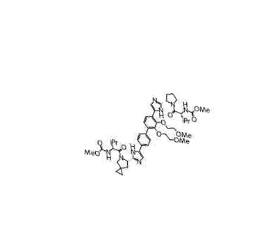 COCCOc1c(-c2ccc(-c3cnc([C@@H]4CC5(CC5)CN4C(=O)[C@@H](NC(=O)OC)C(C)C)[nH]3)cc2)ccc(-c2cnc([C@@H]3CCCN3C(=O)[C@@H](NC(=O)OC)C(C)C)[nH]2)c1OCCOC